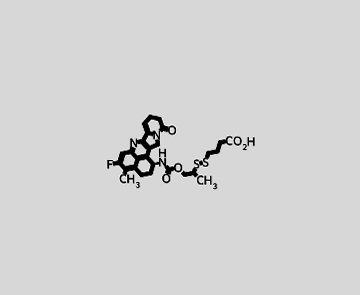 Cc1c(F)cc2nc3c(c4c2c1CC[C@@H]4NC(=O)OCC(C)SSCCCC(=O)O)CN1C(=O)CCC=C31